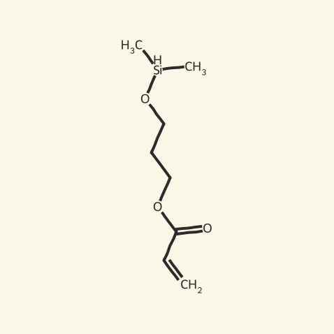 C=CC(=O)OCCCO[SiH](C)C